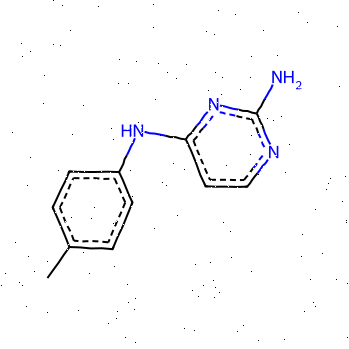 Cc1ccc(Nc2ccnc(N)n2)cc1